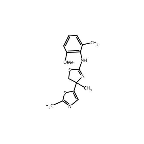 COc1cccc(C)c1NC1=NC(C)(c2cnc(C)s2)CS1